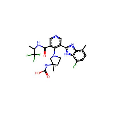 Cc1ccc(F)c2[nH]c(-c3cncc(C(=O)NC(C)C(F)(F)F)c3N3CC[C@](C)(NC(=O)O)C3)nc12